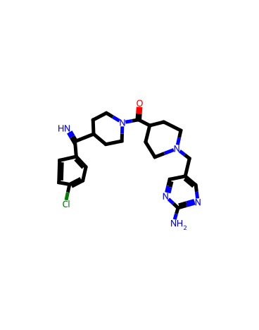 N=C(c1ccc(Cl)cc1)C1CCN(C(=O)C2CCN(Cc3cnc(N)nc3)CC2)CC1